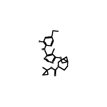 CCc1ccc(Nc2ncnc(OCC34CCN(C(=O)OC5(C)CC5)CC3C4)c2C)c(F)c1